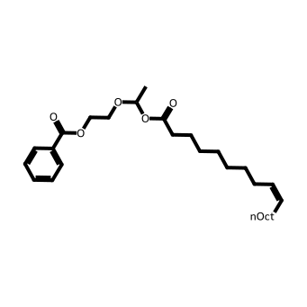 CCCCCCCC/C=C\CCCCCCCC(=O)OC(C)OCCOC(=O)c1ccccc1